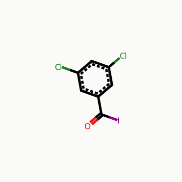 O=C(I)c1cc(Cl)cc(Cl)c1